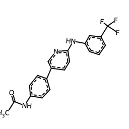 CC(=O)Nc1ccc(-c2ccc(Nc3cccc(C(F)(F)F)c3)nc2)cc1